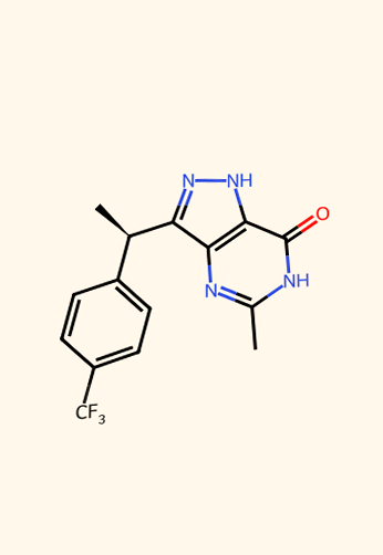 Cc1nc2c([C@H](C)c3ccc(C(F)(F)F)cc3)n[nH]c2c(=O)[nH]1